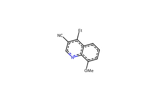 CCc1c(C#N)cnc2c(OC)cccc12